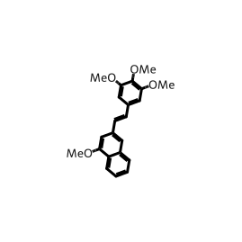 COc1cc(C=Cc2cc(OC)c3ccccc3c2)cc(OC)c1OC